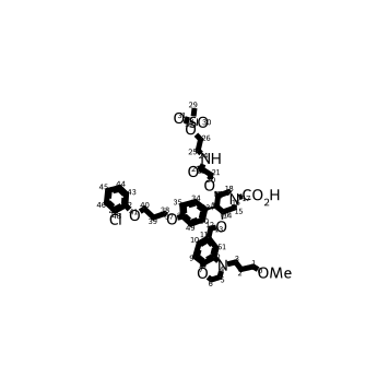 COCCCN1CCOc2ccc(CO[C@H]3CN(C(=O)O)C[C@@H](OCC(=O)NCCOS(C)(=O)=O)[C@@H]3c3ccc(OCCCOc4ccccc4Cl)cc3)cc21